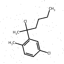 CCCCC(C)(Cl)c1cc(Cl)ccc1C